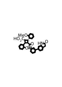 COc1ccccc1C1C(C(=O)Oc2cccc(-c3ccc4c(c3)NC(=O)C4)c2)[C@@H](c2ccccc2OC)[C@@H]1C(=O)O